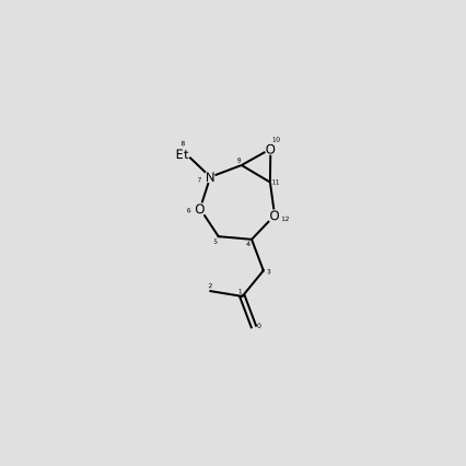 C=C(C)CC1CON(CC)C2OC2O1